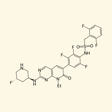 CCn1c(=O)c(-c2cc(F)c(NS(=O)(=O)Cc3c(F)cccc3F)c(F)c2F)cc2cnc(N[C@@H]3CNC[C@@H](F)C3)nc21